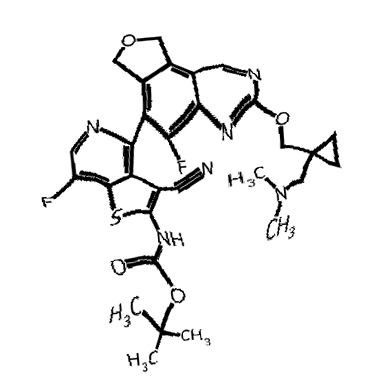 CN(C)CC1(COc2ncc3c4c(c(-c5ncc(F)c6sc(NC(=O)OC(C)(C)C)c(C#N)c56)c(F)c3n2)COC4)CC1